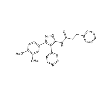 COc1ccc(-c2noc(NC(=O)CCc3ccccc3)c2-c2ccncc2)cc1OC